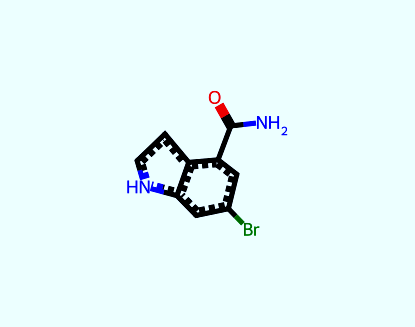 NC(=O)c1cc(Br)cc2[nH]ccc12